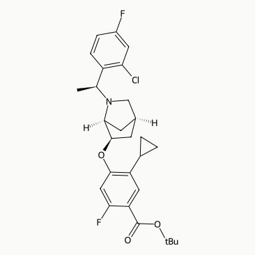 C[C@@H](c1ccc(F)cc1Cl)N1C[C@H]2C[C@@H](Oc3cc(F)c(C(=O)OC(C)(C)C)cc3C3CC3)[C@@H]1C2